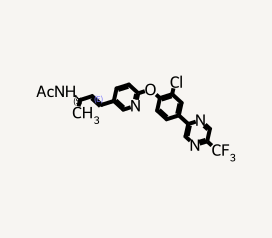 CC(=O)N[C@@H](C)/C=C/c1ccc(Oc2ccc(-c3cnc(C(F)(F)F)cn3)cc2Cl)nc1